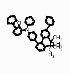 CC1(C)c2cc(-c3ccccc3)ccc2-c2c(-c3ccc(N(c4ccccc4)c4cccc5c4oc4ccccc45)cc3)cccc2C1(C)C